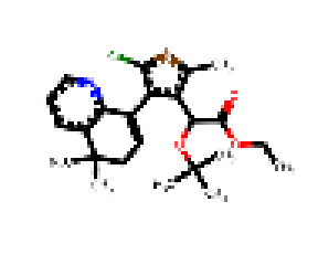 CCOC(=O)C(OC(C)(C)C)c1c(C)sc(Cl)c1C1=CCC(C)(C)c2cccnc21